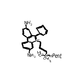 CCCCC[N+](C)(C)CCC[n+]1c(-c2ccccc2)c2cc(N)ccc2c2ccc(N)cc21